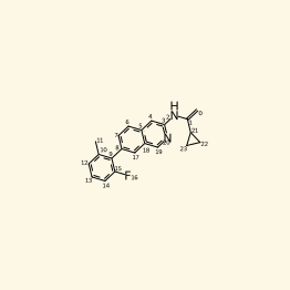 C=C(Nc1cc2ccc(-c3c(C)cccc3F)cc2cn1)C1CC1